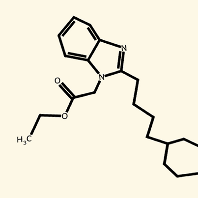 CCOC(=O)Cn1c(CCCCC2CCCCC2)nc2ccccc21